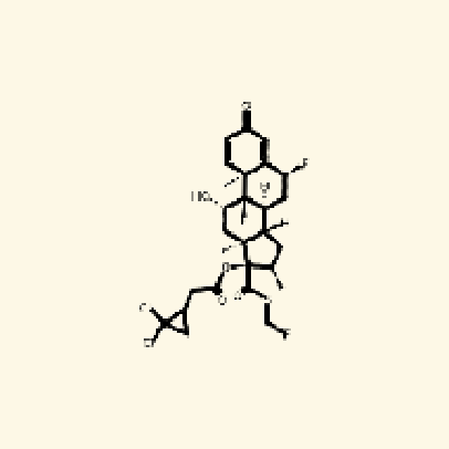 C[C@@H]1C[C@H]2[C@@H]3C[C@H](F)C4=CC(=O)C=C[C@]4(C)[C@@]3(F)[C@@H](O)C[C@]2(C)[C@@]1(OC(=O)CC1CC1(Cl)Cl)C(=O)SCF